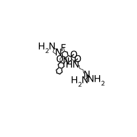 NC(N)=NCCCCNC(=O)c1cn2c3c(c(N4CC[C@@H](N)C4)c(F)cc3c1=O)Oc1cc3ccccc3cc1-2